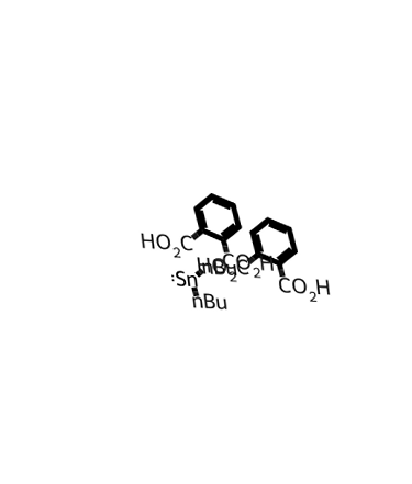 CCC[CH2][Sn][CH2]CCC.O=C(O)c1ccccc1C(=O)O.O=C(O)c1ccccc1C(=O)O